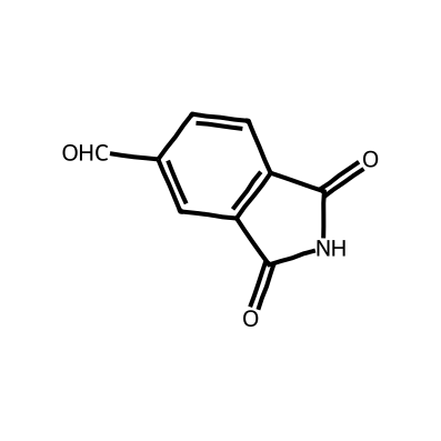 O=Cc1ccc2c(c1)C(=O)NC2=O